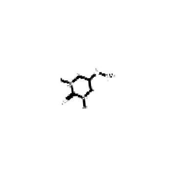 CSOC1CN(C)C(=O)N(C)C1